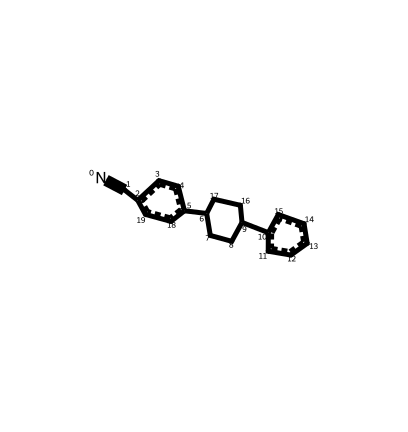 N#Cc1ccc(C2CCC(c3ccccc3)CC2)cc1